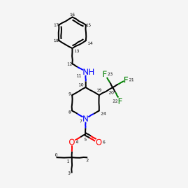 CC(C)(C)OC(=O)N1CCC(NCc2ccccc2)C(C(F)(F)F)C1